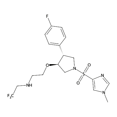 Cn1cnc(S(=O)(=O)N2C[C@@H](OCCNCC(F)(F)F)[C@H](c3ccc(F)cc3)C2)c1